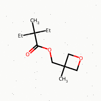 CCC(C)(CC)C(=O)OCC1(C)COC1